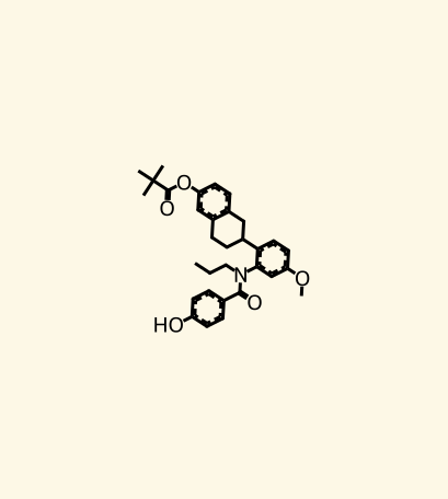 CCCN(C(=O)c1ccc(O)cc1)c1cc(OC)ccc1C1CCc2cc(OC(=O)C(C)(C)C)ccc2C1